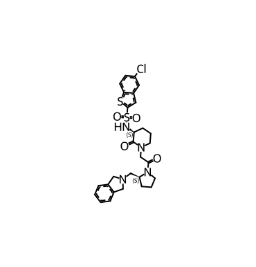 O=C1[C@@H](NS(=O)(=O)c2cc3cc(Cl)ccc3s2)CCCN1CC(=O)N1CCC[C@H]1CN1Cc2ccccc2C1